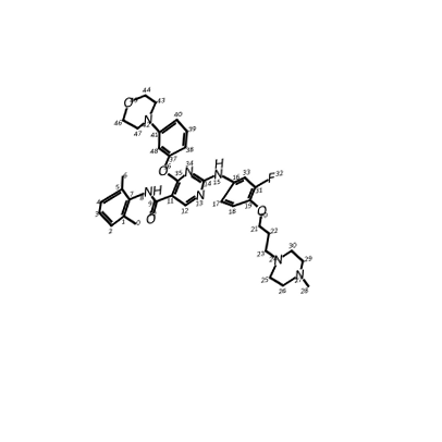 Cc1cccc(C)c1NC(=O)c1cnc(Nc2ccc(OCCCN3CCN(C)CC3)c(F)c2)nc1Oc1cccc(N2CCOCC2)c1